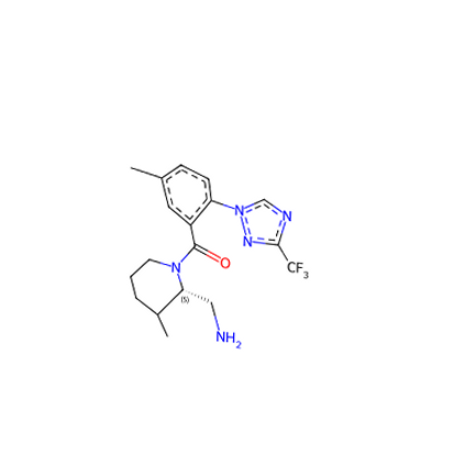 Cc1ccc(-n2cnc(C(F)(F)F)n2)c(C(=O)N2CCCC(C)[C@H]2CN)c1